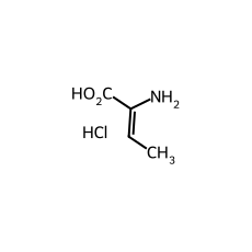 C/C=C(\N)C(=O)O.Cl